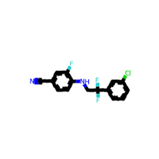 N#Cc1[c]c(F)c(NCC(F)(F)c2cccc(Cl)c2)cc1